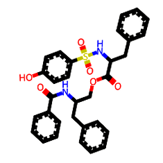 O=C(NC(COC(=O)C(Cc1ccccc1)NS(=O)(=O)c1ccc(O)cc1)Cc1ccccc1)c1ccccc1